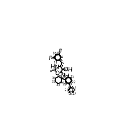 CC(=O)NC(Cc1cc(F)cc(F)c1)C(O)CNC1(c2cccc(-c3cscn3)c2)CCCCC1